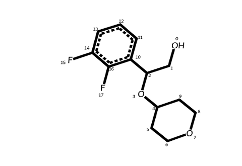 OCC(OC1CCOCC1)c1cccc(F)c1F